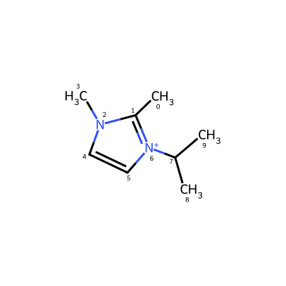 Cc1n(C)cc[n+]1C(C)C